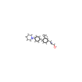 Cc1cc(/C=C/C=O)ccc1-c1ccc(N2CCCCC2)cc1